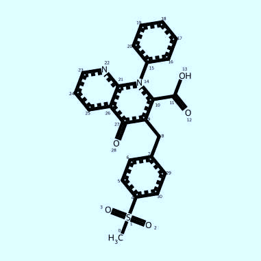 CS(=O)(=O)c1ccc(Cc2c(C(=O)O)n(-c3ccccc3)c3ncccc3c2=O)cc1